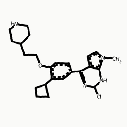 Cn1ccc2c1NC(Cl)N=C2c1ccc(OCCC2CCNCC2)c(C2CCC2)c1